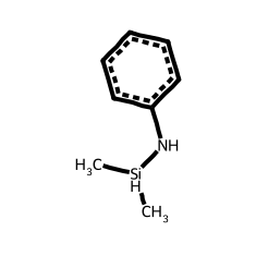 C[SiH](C)Nc1ccccc1